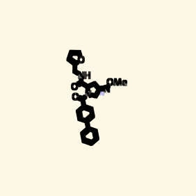 CO/N=C1\CC(C(=O)NCc2ccco2)N(C(=O)c2ccc(-c3ccccc3)cc2)C1